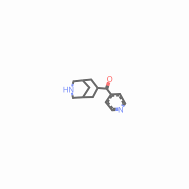 O=C(c1ccncc1)C1CC2CNCC(C2)C1